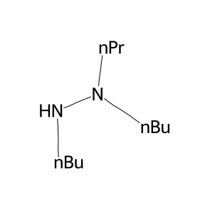 CCCCNN(CCC)CCCC